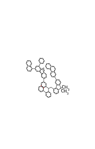 CC1(C)c2ccc(-c3ccc4c(ccc5ccccc54)c3)cc2-c2c(CC(c3cccc(-c4ccc5sc6c(-c7ccccc7)cc(-c7cccc8ccccc78)cc6c5c4)c3)c3ccccc3-c3ccccc3)cccc21